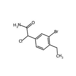 CCc1ccc(C(Cl)C(N)=O)cc1Br